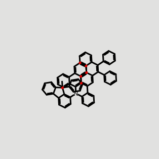 CC1(c2ccccc2)c2ccccc2-c2cccc(N(c3ccccc3-c3ccc4c(c3)c(-c3ccccc3)c(-c3ccccc3)c3ccccc34)c3cc4ccccc4c4ccccc34)c21